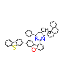 CC1CC(c2ccccc2)=NC(c2cccc3oc4cc(-c5ccc6c(c5)sc5ccccc56)ccc4c23)=NC1c1ccc2ccc3ccccc3c2c1